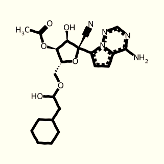 CC(=O)O[C@H]1[C@@H](O)[C@](C#N)(c2ccc3c(N)ncnn23)O[C@@H]1COC(O)CC1CCCCC1